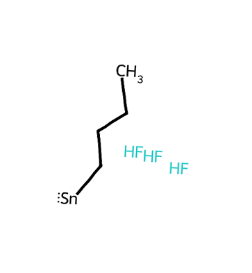 CCC[CH2][Sn].F.F.F